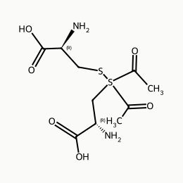 CC(=O)S(C[C@H](N)C(=O)O)(SC[C@H](N)C(=O)O)C(C)=O